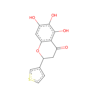 O=C1CC(c2ccsc2)Oc2cc(O)c(O)c(O)c21